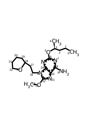 CCC[C@H](C)Oc1nc(N)c2nc(OC)n(CCC3CCCCO3)c2n1